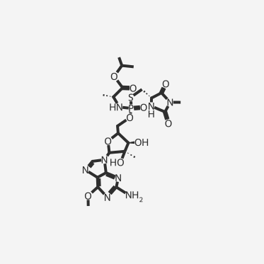 COc1nc(N)nc2c1ncn2C1OC(COP(=O)(N[C@H](C)C(=O)OC(C)C)SC[C@H]2NC(=O)N(C)C2=O)[C@@H](O)[C@@]1(C)O